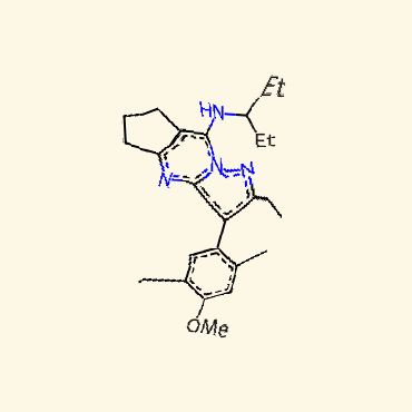 CCC(CC)Nc1c2c(nc3c(-c4cc(C)c(OC)cc4C)c(C)nn13)CCC2